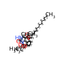 CCCCCCCCCCCCCCCc1cccc(OCC)c1C1C(C(=O)OC)=C(C)NC(=O)N1C(=O)OCC